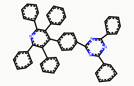 c1ccc(-c2nc(-c3ccccc3)nc(-c3ccc(-c4c(-c5ccccc5)c(-c5ccccc5)nc(-c5ccccc5)c4-c4ccccc4)cc3)n2)cc1